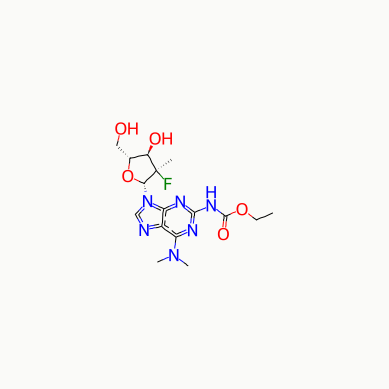 CCOC(=O)Nc1nc(N(C)C)c2ncn([C@@H]3O[C@H](CO)[C@@H](O)[C@@]3(C)F)c2n1